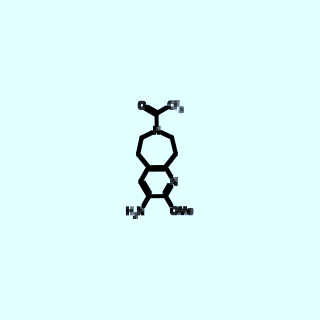 COc1nc2c(cc1N)CCN(C(=O)C(F)(F)F)CC2